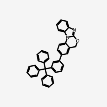 c1ccc(C(c2ccccc2)(c2ccccc2)c2cccc(-c3ccc4c(c3)COc3nc5ccccc5n3-4)c2)cc1